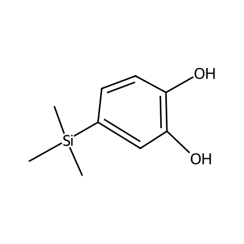 C[Si](C)(C)c1ccc(O)c(O)c1